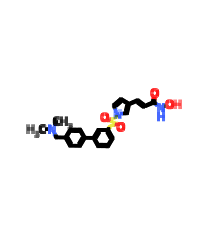 CN(C)Cc1ccc(-c2cccc(S(=O)(=O)n3ccc(C=CC(=O)NO)c3)c2)cc1